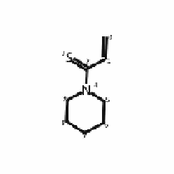 C=CC(=S)N1CCCCC1